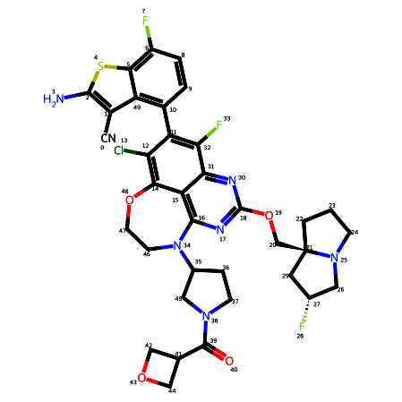 N#Cc1c(N)sc2c(F)ccc(-c3c(Cl)c4c5c(nc(OC[C@@]67CCCN6C[C@H](F)C7)nc5c3F)N(C3CCN(C(=O)C5COC5)C3)CCO4)c12